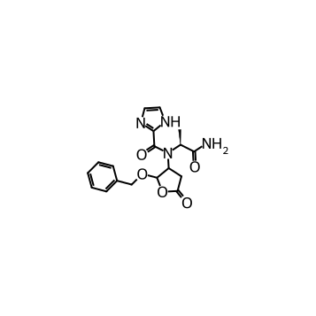 C[C@@H](C(N)=O)N(C(=O)c1ncc[nH]1)C1CC(=O)OC1OCc1ccccc1